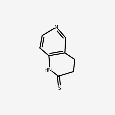 S=C1CCc2cnccc2N1